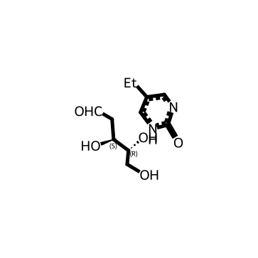 CCc1cnc(=O)[nH]c1.O=CC[C@H](O)[C@H](O)CO